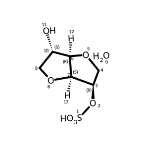 O.O=S(=O)(O)O[C@@H]1CO[C@H]2[C@@H]1OC[C@@H]2O